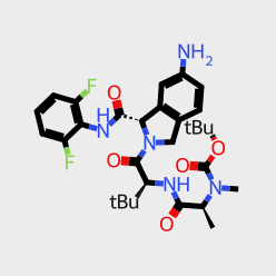 C[C@@H](C(=O)N[C@H](C(=O)N1Cc2ccc(N)cc2[C@H]1C(=O)Nc1c(F)cccc1F)C(C)(C)C)N(C)C(=O)OC(C)(C)C